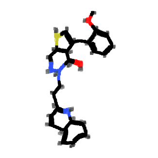 COc1ccccc1-c1csc2cnn(CCc3ccc4ccccc4n3)c(=O)c12